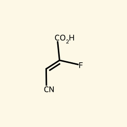 N#C/C=C(\F)C(=O)O